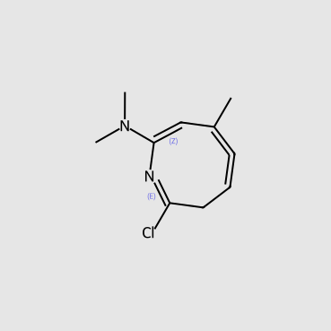 CC1=C=CC/C(Cl)=N\C(N(C)C)=C/1